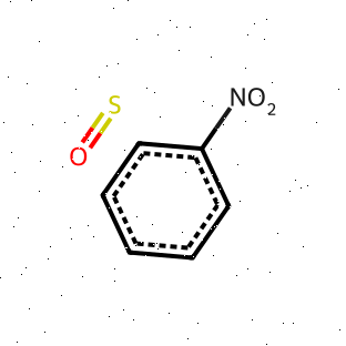 O=S.O=[N+]([O-])c1ccccc1